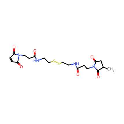 CC1CC(=O)N(CCC(=O)NCCSSCCNC(=O)CCN2C(=O)C=CC2=O)C1=O